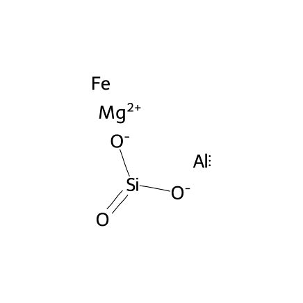 O=[Si]([O-])[O-].[Al].[Fe].[Mg+2]